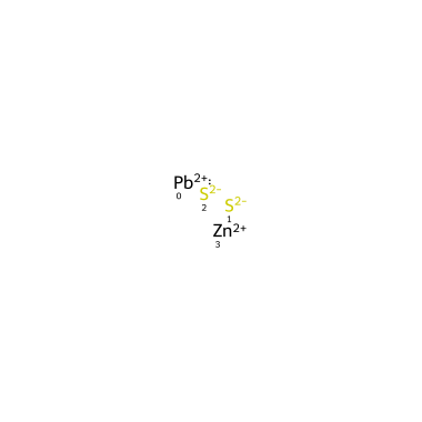 [Pb+2].[S-2].[S-2].[Zn+2]